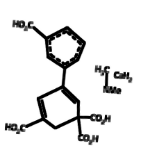 CNC.O=C(O)C1=CC(c2cccc(C(=O)O)c2)=CC(C(=O)O)(C(=O)O)C1.[CaH2]